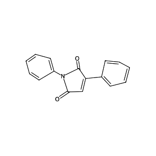 O=C1C=C(c2ccccc2)C(=O)N1c1ccccc1